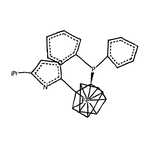 CC(C)c1coc([C]23[CH]4[CH]5[CH]6[C@]2(P(c2ccccc2)c2ccccc2)[Fe]54632789[CH]3[CH]2[CH]7[CH]8[CH]39)n1